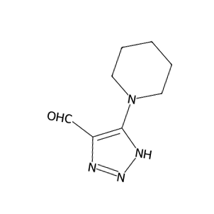 O=Cc1nn[nH]c1N1CCCCC1